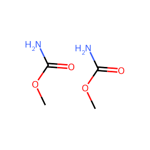 COC(N)=O.COC(N)=O